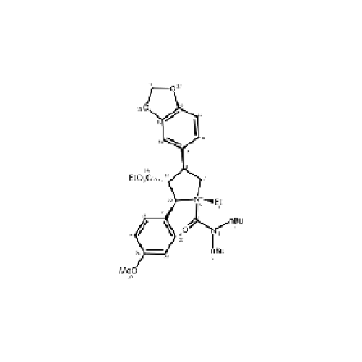 CCCCN(CCCC)C(=O)[N@@+]1(CC)C[C@H](c2ccc3c(c2)OCO3)[C@@H](C(=O)OCC)[C@@H]1c1ccc(OC)cc1